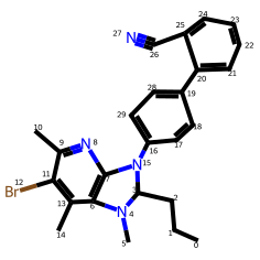 CCCC1N(C)c2c(nc(C)c(Br)c2C)N1c1ccc(-c2ccccc2C#N)cc1